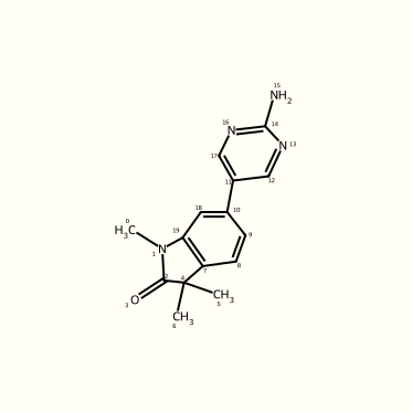 CN1C(=O)C(C)(C)c2ccc(-c3cnc(N)nc3)cc21